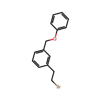 BrCCc1cccc(COc2ccccc2)c1